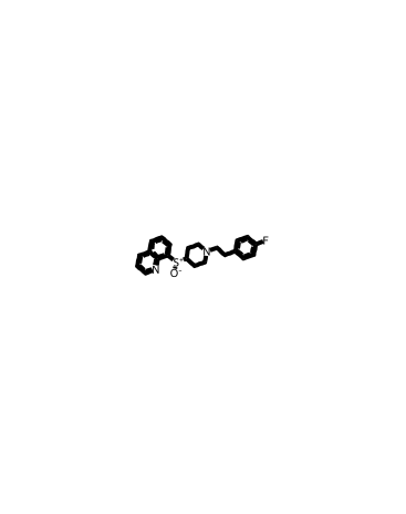 [O-][S+](c1cccc2cccnc12)C1CCN(CCc2ccc(F)cc2)CC1